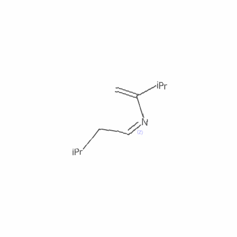 C=C(/N=C\CC(C)C)C(C)C